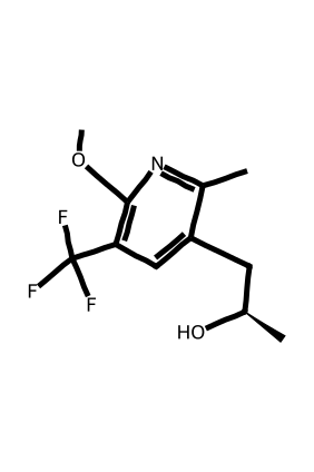 COc1nc(C)c(C[C@@H](C)O)cc1C(F)(F)F